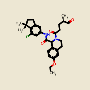 CCOc1ccc2c(c1)CCN(C(=O)CC[C@@H](C)C=O)C2C(=O)Nc1cc(F)c2c(c1)CCC2(C)C